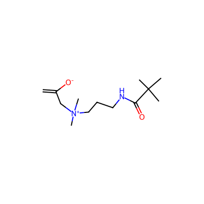 C=C([O-])C[N+](C)(C)CCCNC(=O)C(C)(C)C